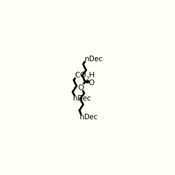 CCCCCCCCCCCCCC(=O)O.CCCCCCCCCCCCCCOC(=O)CCCCCCCCCCCCC